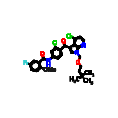 COc1ccc(F)cc1C(=O)Nc1ccc(C(=O)c2cn(COCC[Si](C)(C)C)c3nccc(Cl)c23)c(Cl)c1